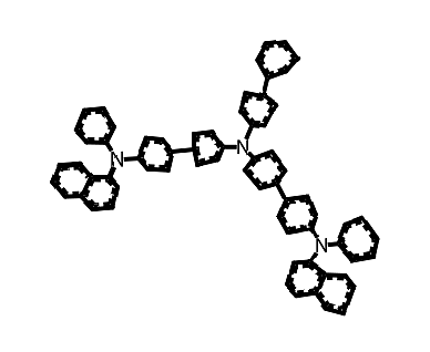 c1ccc(-c2ccc(N(c3ccc(-c4ccc(N(c5ccccc5)c5cccc6ccccc56)cc4)cc3)c3ccc(-c4ccc(N(c5ccccc5)c5cccc6ccccc56)cc4)cc3)cc2)cc1